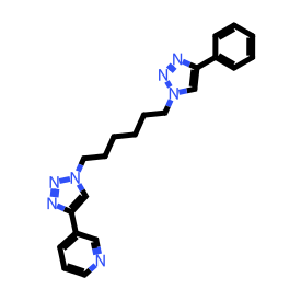 c1ccc(-c2cn(CCCCCCn3cc(-c4cccnc4)nn3)nn2)cc1